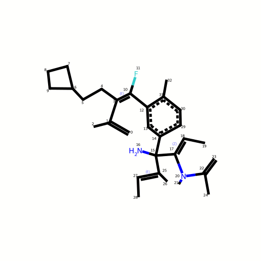 C=C(C)/C(CCC1CCC1)=C(/F)c1cc(C(N)(/C(=C/C)N(C)C(=C)C)/C(C)=C/C)ccc1C